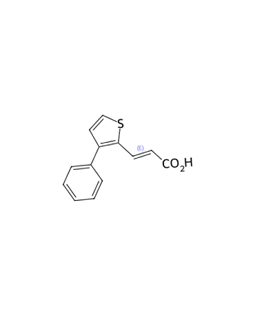 O=C(O)/C=C/c1sccc1-c1ccccc1